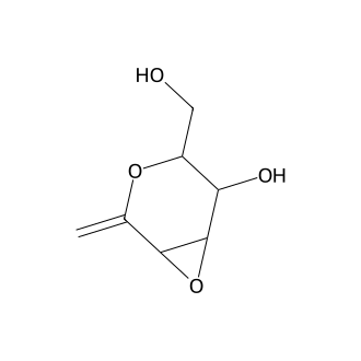 C=C1OC(CO)C(O)C2OC12